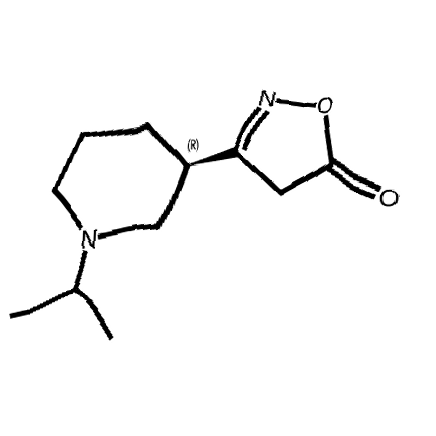 CC(C)N1CCC[C@@H](C2=NOC(=O)C2)C1